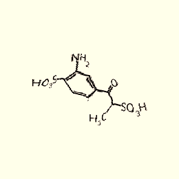 CC(C(=O)c1[c]cc(S(=O)(=O)O)c(N)c1)S(=O)(=O)O